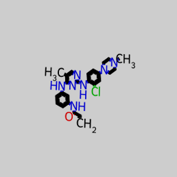 C=CC(=O)Nc1cccc(Nc2nc(Nc3ccc(N4CCN(C)CC4)cc3Cl)ncc2C)c1